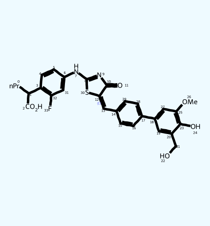 CCCC(C(=O)O)c1ccc(NC2=NC(=O)/C(=C\c3ccc(-c4cc(CO)c(O)c(OC)c4)cc3)S2)cc1F